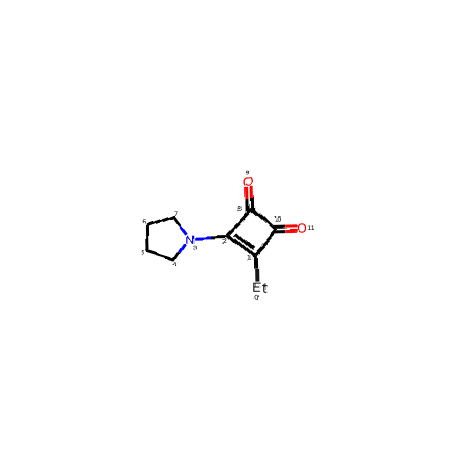 CCc1c(N2CCCC2)c(=O)c1=O